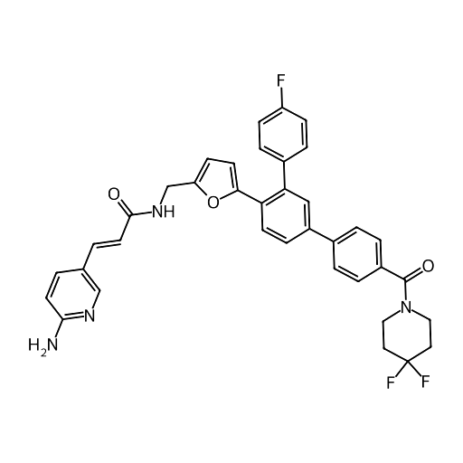 Nc1ccc(C=CC(=O)NCc2ccc(-c3ccc(-c4ccc(C(=O)N5CCC(F)(F)CC5)cc4)cc3-c3ccc(F)cc3)o2)cn1